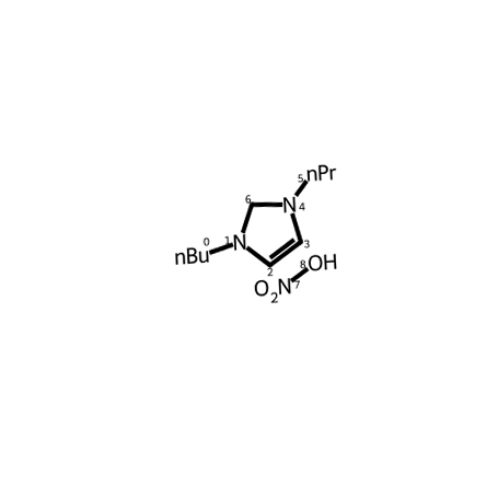 CCCCN1C=CN(CCC)C1.O=[N+]([O-])O